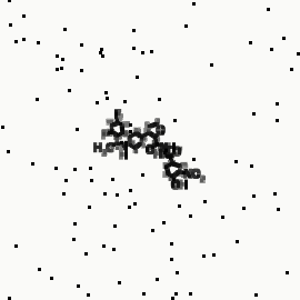 CC(Nc1ccc(-c2ccoc2C(=O)NNC(=O)c2ccc(O)c([N+](=O)[O-])c2)cc1)c1ccc(F)cc1F